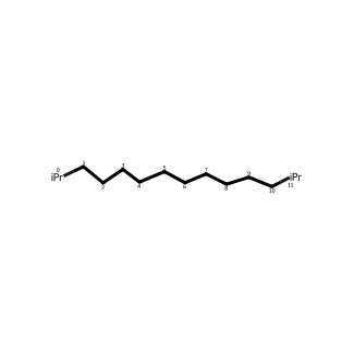 CC(C)CCCC[CH]CCCCCC(C)C